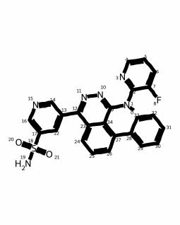 CN(c1ncccc1F)c1nnc(-c2cncc(S(N)(=O)=O)c2)c2cccc(-c3ccccc3)c12